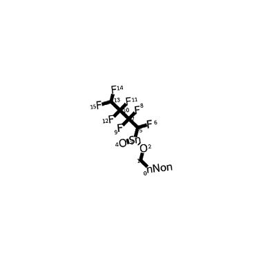 CCCCCCCCCC[O][Sn](=[O])[CH](F)C(F)(F)C(F)(F)C(F)F